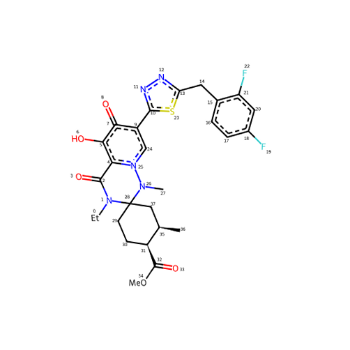 CCN1C(=O)c2c(O)c(=O)c(-c3nnc(Cc4ccc(F)cc4F)s3)cn2N(C)C12CC[C@H](C(=O)OC)[C@H](C)C2